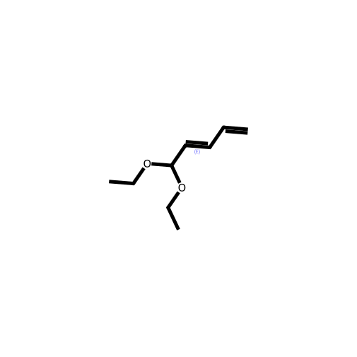 C=C/C=C/C(OCC)OCC